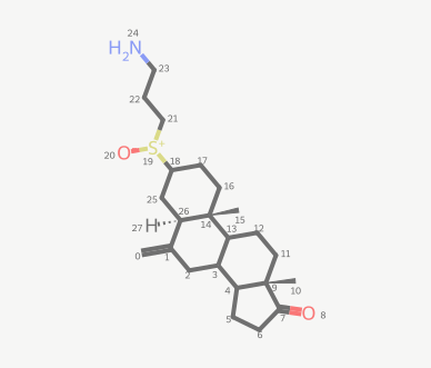 C=C1CC2C3CCC(=O)[C@@]3(C)CCC2[C@@]2(C)CCC([S+]([O-])CCCN)C[C@H]12